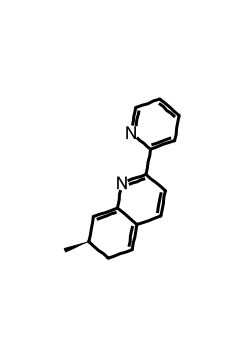 C[C@H]1C=c2nc(-c3ccccn3)ccc2=CC1